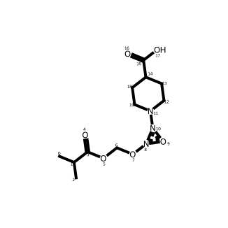 CC(C)C(=O)OCOn1on1N1CCC(C(=O)O)CC1